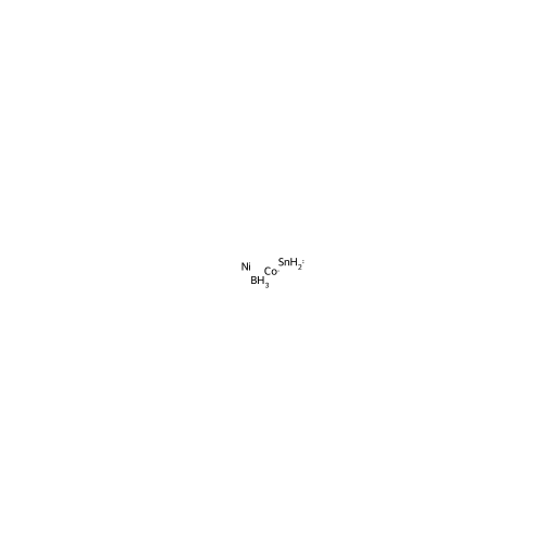 B.[Co].[Ni].[SnH2]